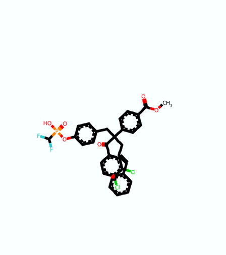 COC(=O)c1ccc(C(CC=Cc2ccccc2)(Cc2ccc(OP(=O)(O)C(F)F)cc2)C(=O)c2ccc(Cl)c(Cl)c2)cc1